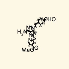 COC(=O)c1ccnc(Sc2nc3c(N)ncn(CCC4CCN(C=O)CC4)c-3n2)c1